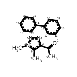 CC(=O)c1nnn(C)c1C.c1ccc(-c2ccccc2)cc1